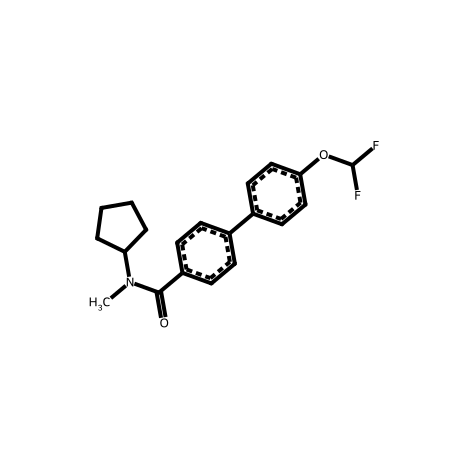 CN(C(=O)c1ccc(-c2ccc(OC(F)F)cc2)cc1)C1CCCC1